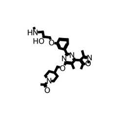 CNCC(O)COc1cccc(-c2nc(OCC3CCN(C(C)=O)CC3)c(C)c(-c3c(C)noc3C)n2)c1